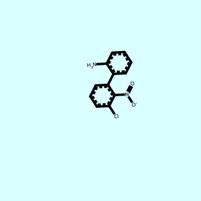 Nc1ccccc1-c1cccc(Cl)c1[N+](=O)[O-]